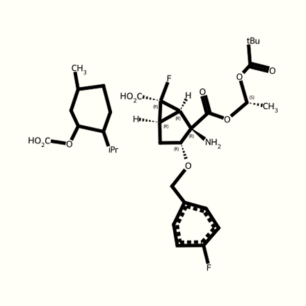 CC1CCC(C(C)C)C(OC(=O)O)C1.C[C@@H](OC(=O)C(C)(C)C)OC(=O)[C@@]1(N)[C@H]2[C@@H](C[C@H]1OCc1ccc(F)cc1)[C@]2(F)C(=O)O